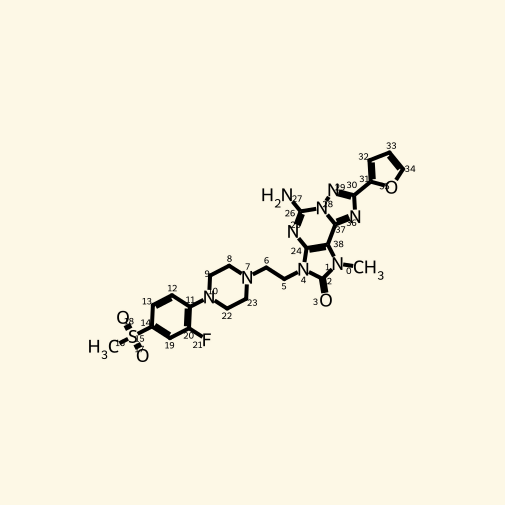 Cn1c(=O)n(CCN2CCN(c3ccc(S(C)(=O)=O)cc3F)CC2)c2nc(N)n3nc(-c4ccco4)nc3c21